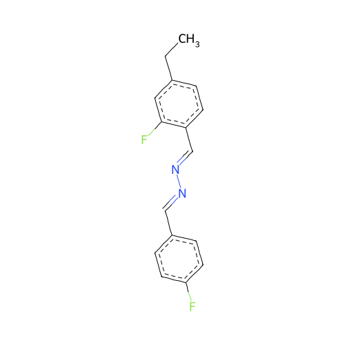 CCc1ccc(/C=N/N=C/c2ccc(F)cc2)c(F)c1